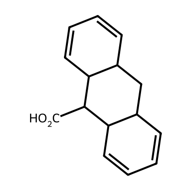 O=C(O)C1C2C=CC=CC2CC2C=CC=CC21